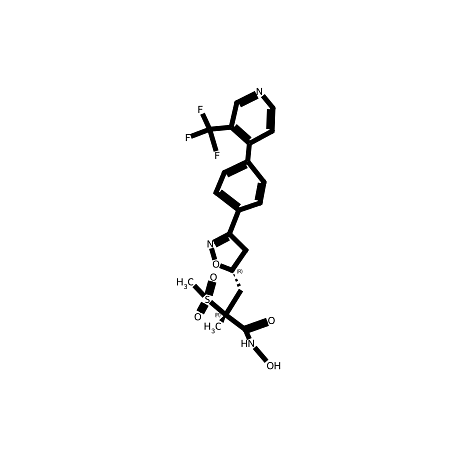 C[C@@](C[C@H]1CC(c2ccc(-c3ccncc3C(F)(F)F)cc2)=NO1)(C(=O)NO)S(C)(=O)=O